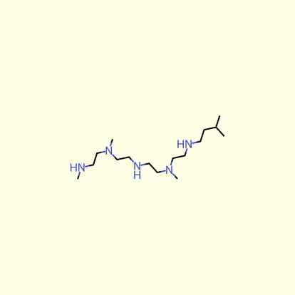 CNCCN(C)CCNCCN(C)CCNCCC(C)C